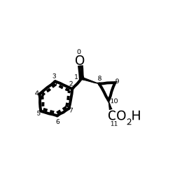 O=C(c1ccccc1)[C@H]1C[C@H]1C(=O)O